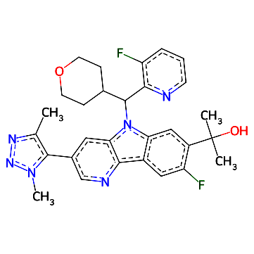 Cc1nnn(C)c1-c1cnc2c3cc(F)c(C(C)(C)O)cc3n(C(c3ncccc3F)C3CCOCC3)c2c1